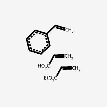 C=CC(=O)O.C=CC(=O)OCC.C=Cc1ccccc1